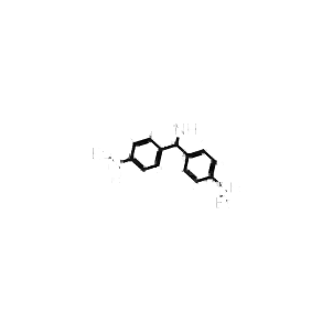 CCNc1ccc(C(N)c2ccc(NCC)cc2)cc1